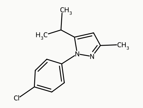 Cc1cc(C(C)C)n(-c2ccc(Cl)cc2)n1